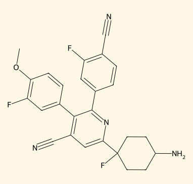 COc1ccc(-c2c(C#N)cc(C3(F)CCC(N)CC3)nc2-c2ccc(C#N)c(F)c2)cc1F